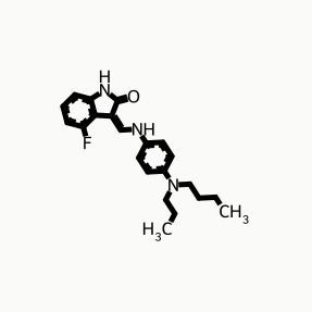 CCCCN(CCC)c1ccc(NC=C2C(=O)Nc3cccc(F)c32)cc1